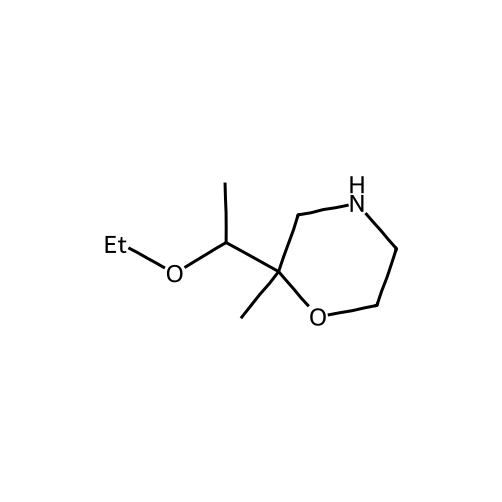 CCOC(C)C1(C)CNCCO1